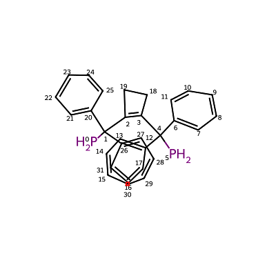 PC(C1=C(C(P)(c2ccccc2)c2ccccc2)CC1)(c1ccccc1)c1ccccc1